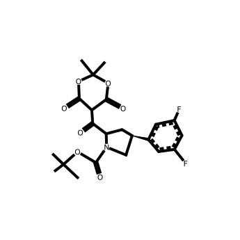 CC(C)(C)OC(=O)N1C[C@H](c2cc(F)cc(F)c2)CC1C(=O)C1C(=O)OC(C)(C)OC1=O